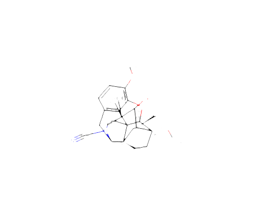 COc1ccc2c3c1O[C@@H]1C34CCN(C#N)C(C2)[C@]42CC[C@@]1(OC)[C@@H]([C@](C)(O)C(C)(C)C)C2